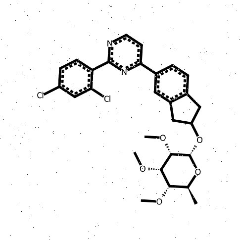 CO[C@@H]1[C@H](OC)[C@H](OC2Cc3ccc(-c4ccnc(-c5ccc(Cl)cc5Cl)n4)cc3C2)O[C@@H](C)[C@@H]1OC